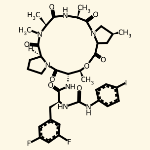 C[C@H]1CC2C(=O)O[C@@H](C)[C@H](NC(=O)[C@H](Cc3cc(F)cc(F)c3)NC(=O)Nc3ccc(I)cc3)C(=O)N3CCC[C@H]3C(=O)N(C)[C@@H](C)C(=O)N[C@@H](C)C(=O)N2C1